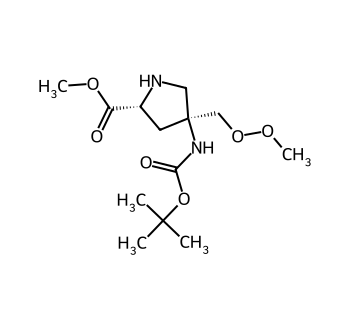 COOC[C@@]1(NC(=O)OC(C)(C)C)CN[C@@H](C(=O)OC)C1